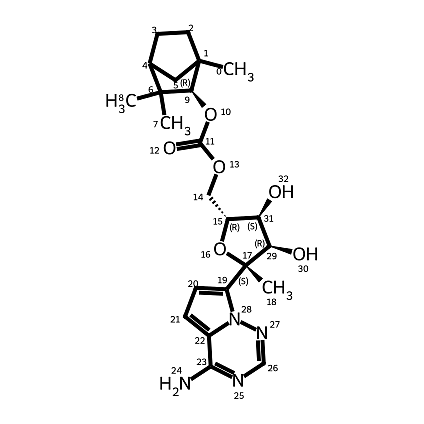 CC12CCC(C1)C(C)(C)[C@@H]2OC(=O)OC[C@H]1O[C@@](C)(c2ccc3c(N)ncnn23)[C@H](O)[C@@H]1O